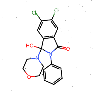 O=C1c2cc(Cl)c(Cl)cc2C(O)(N2CCOCC2)N1c1ccccc1